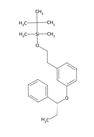 [CH2]C[C@@H](Oc1cccc(CCO[Si](C)(C)C(C)(C)C)c1)c1ccccc1